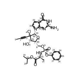 CC#CC1(Cl)[C@@H](O)[C@@H](COP(=O)(N[C@@H](C)C(=O)OC(C)C)Oc2ccccc2)O[C@H]1n1ccc2c(=O)[nH]c(N)nc21